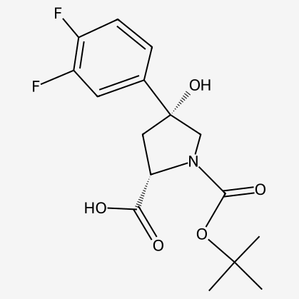 CC(C)(C)OC(=O)N1C[C@](O)(c2ccc(F)c(F)c2)C[C@H]1C(=O)O